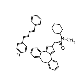 C(C=Cc1ccccc1)=Cc1ccccc1.CN(C1CCCCC1)[Si](=O)CC1C=C2C(=C1)c1ccccc1Cc1ccccc12.[Ti]